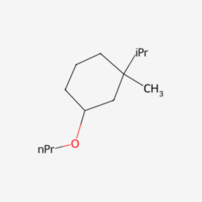 CCCOC1CCCC(C)(C(C)C)C1